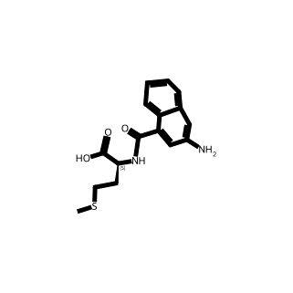 CSCC[C@H](NC(=O)c1cc(N)cc2ccccc12)C(=O)O